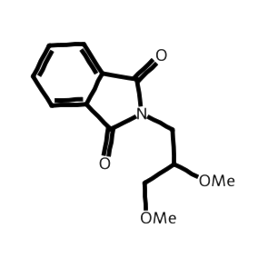 COCC(CN1C(=O)c2ccccc2C1=O)OC